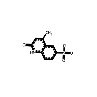 Cc1cc(=O)[nH]c2ccc(S(=O)(=O)Cl)cc12